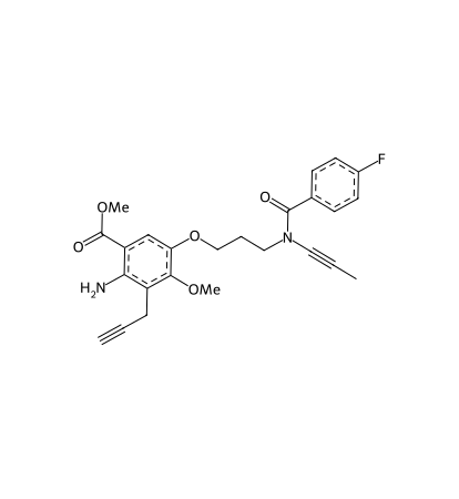 C#CCc1c(N)c(C(=O)OC)cc(OCCCN(C#CC)C(=O)c2ccc(F)cc2)c1OC